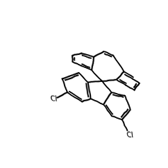 Clc1ccc2c(c1)-c1cc(Cl)ccc1C21c2ccccc2C=Cc2ccccc21